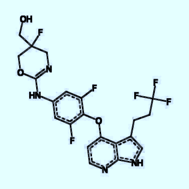 OCC1(F)CN=C(Nc2cc(F)c(Oc3ccnc4[nH]cc(CCC(F)(F)F)c34)c(F)c2)OC1